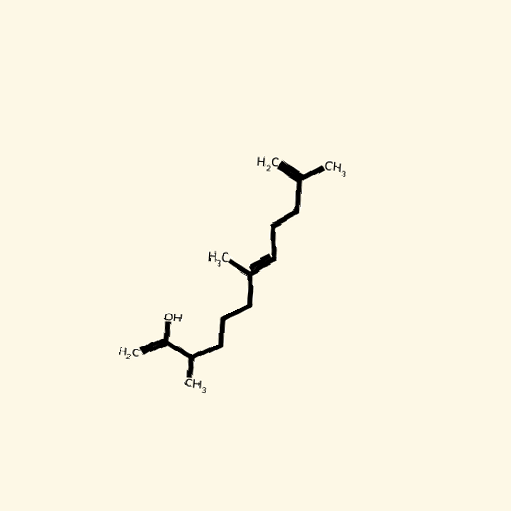 C=C(C)CC/C=C(\C)CCCC(C)C(=C)O